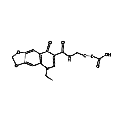 CCn1cc(C(=O)NCCCC(=O)O)c(=O)c2cc3c(cc21)OCO3